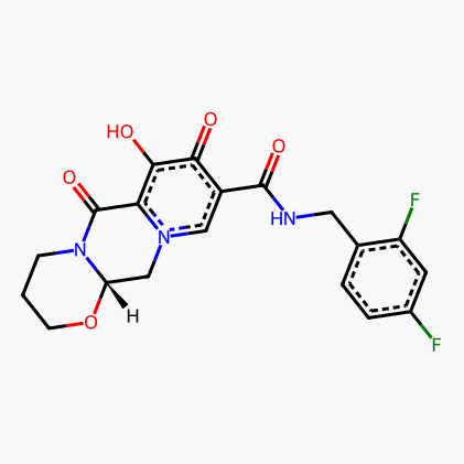 O=C(NCc1ccc(F)cc1F)c1cn2c(c(O)c1=O)C(=O)N1CCCO[C@H]1C2